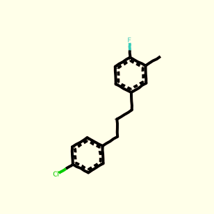 Cc1cc(C[CH]Cc2ccc(Cl)cc2)ccc1F